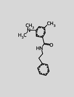 Cc1cc(C(=O)NCCc2ccccc2)cc(N(C)C)c1